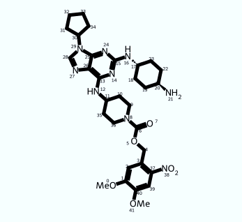 COc1cc(COC(=O)N2CCC(Nc3nc(N[C@H]4CC[C@H](N)CC4)nc4c3ncn4C3CCCC3)CC2)c([N+](=O)[O-])cc1OC